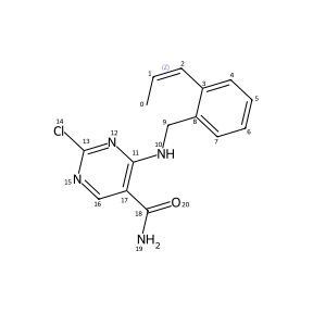 C/C=C\c1ccccc1CNc1nc(Cl)ncc1C(N)=O